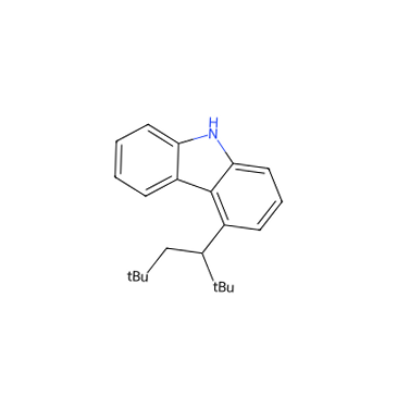 CC(C)(C)CC(c1cccc2[nH]c3ccccc3c12)C(C)(C)C